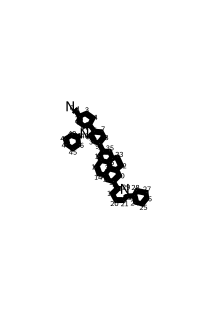 N#Cc1ccc2c3ccc(-c4cc5ccc6cc(-c7cccc(-c8ccccc8)n7)cc7ccc(c4)c5c67)cc3n(-c3ccccc3)c2c1